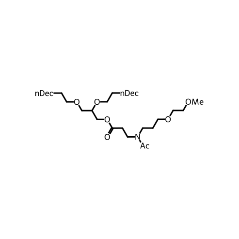 CCCCCCCCCCCCOCC(COC(=O)CCN(CCCOCCOC)C(C)=O)OCCCCCCCCCCCC